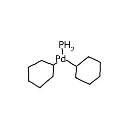 [PH2][Pd]([CH]1CCCCC1)[CH]1CCCCC1